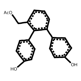 CC(=O)OCc1cccc(-c2ccc(O)cc2)c1-c1ccc(O)cc1